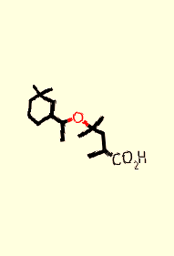 CC(CC(C)(C)OC(C)C1CCCC(C)(C)C1)C(=O)O